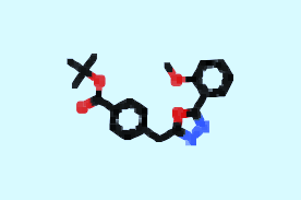 COc1ccccc1-c1nnc(Cc2ccc(C(=O)OC(C)(C)C)cc2)o1